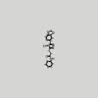 CCn1c(SCC(=O)Nc2ccccc2)nnc1-c1cc2c(cn1)OCO2